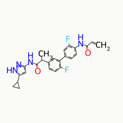 C=CC(=O)Nc1ccc(-c2cc(C(C)C(=O)Nc3cc(C4CC4)[nH]n3)ccc2F)cc1F